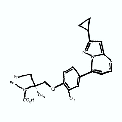 CC(C)C[C@@](C)(COc1ccc(-c2ccnc3cc(C4CC4)nn23)cc1C(F)(F)F)N(C(=O)O)C(C)(C)C